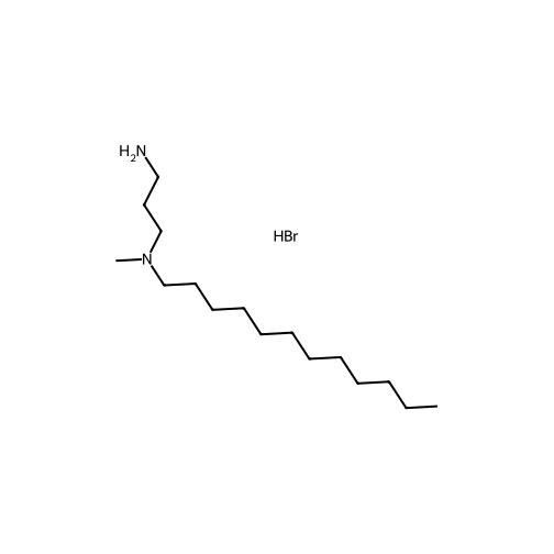 Br.CCCCCCCCCCCCN(C)CCCN